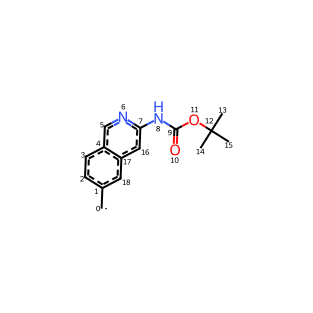 [CH2]c1ccc2cnc(NC(=O)OC(C)(C)C)cc2c1